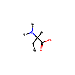 [2H]C[C@@]([2H])(C(=O)O)N([2H])[2H]